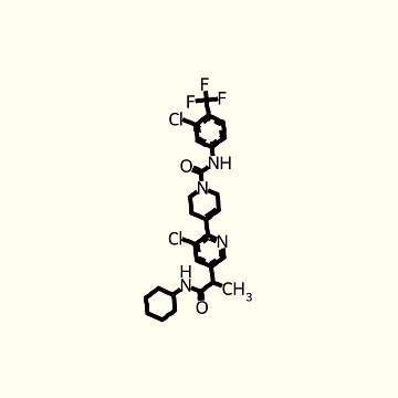 CC(C(=O)NC1CCCCC1)c1cnc(C2=CCN(C(=O)Nc3ccc(C(F)(F)F)c(Cl)c3)CC2)c(Cl)c1